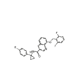 O=C(NC1(c2ccc(F)cc2)CC1)c1cnc2c(OCc3c(F)cccc3F)cccc2c1